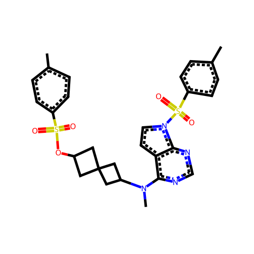 Cc1ccc(S(=O)(=O)OC2CC3(C2)CC(N(C)c2ncnc4c2ccn4S(=O)(=O)c2ccc(C)cc2)C3)cc1